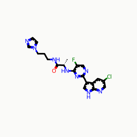 C[C@H](Nc1nc(-c2c[nH]c3ncc(Cl)cc23)ncc1F)C(=O)NCCCn1ccnc1